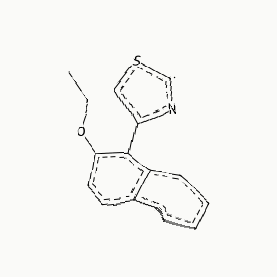 CCOc1ccc2ccccc2c1-c1cs[c]n1